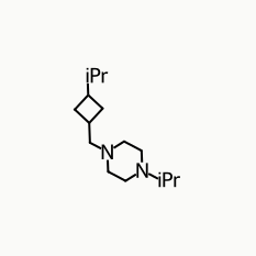 CC(C)C1CC(CN2CCN(C(C)C)CC2)C1